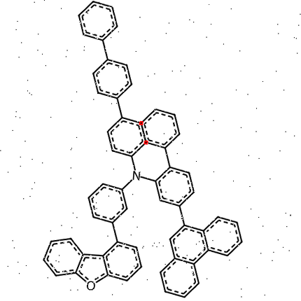 c1ccc(-c2ccc(-c3ccc(N(c4cccc(-c5cccc6oc7ccccc7c56)c4)c4cc(-c5cc6ccccc6c6ccccc56)ccc4-c4ccccc4)cc3)cc2)cc1